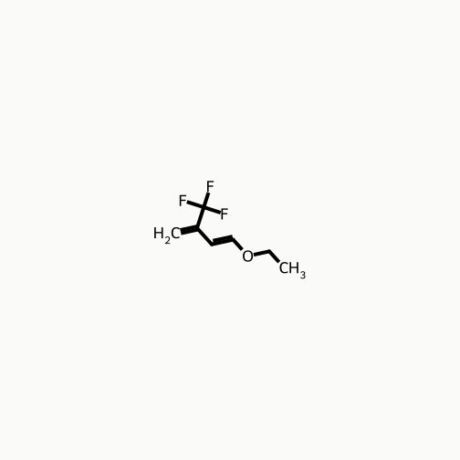 C=C(C=COCC)C(F)(F)F